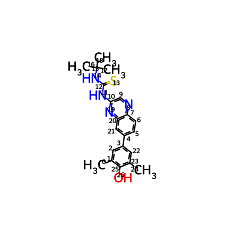 Cc1cc(-c2ccc3ncc(NC(=S)NC(C)(C)C)nc3c2)cc(C)c1O